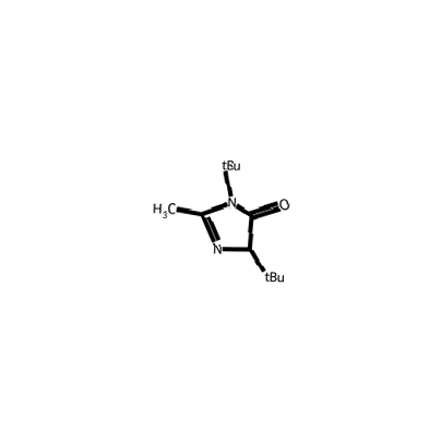 CC1=NC(C(C)(C)C)C(=O)N1C(C)(C)C